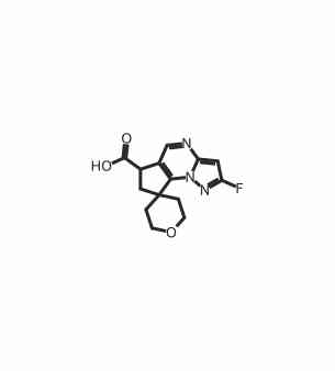 O=C(O)C1CC2(CCOCC2)c2c1cnc1cc(F)nn21